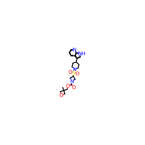 CC1(COC(=O)N2CC(S(=O)(=O)N3CCC(c4c[nH]c5ncccc45)CC3)C2)COC1